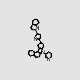 c1cncc(-n2c3ccc(-c4ccc(-c5ccc6ccccc6n5)cn4)cc3c3c4ccccc4ccc32)c1